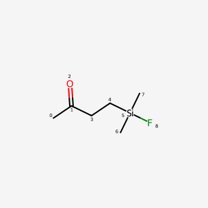 CC(=O)CC[Si](C)(C)F